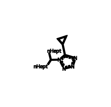 CCCCCCCC(CCCCCCC)n1nnnc1C1CC1